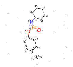 COc1ccc(O/[P+]([O-])=N/C2CCCCC2)cc1